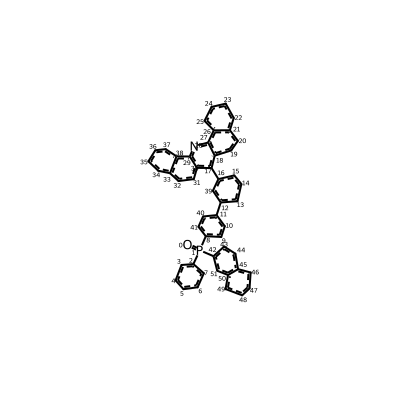 O=P(c1ccccc1)(c1ccc(-c2cccc(-c3c4ccc5ccccc5c4nc4c3ccc3ccccc34)c2)cc1)c1ccc2ccccc2c1